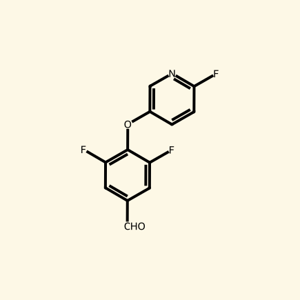 O=Cc1cc(F)c(Oc2ccc(F)nc2)c(F)c1